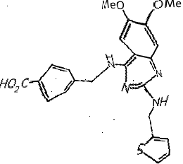 COc1cc2nc(NCc3cccs3)nc(NCc3ccc(C(=O)O)cc3)c2cc1OC